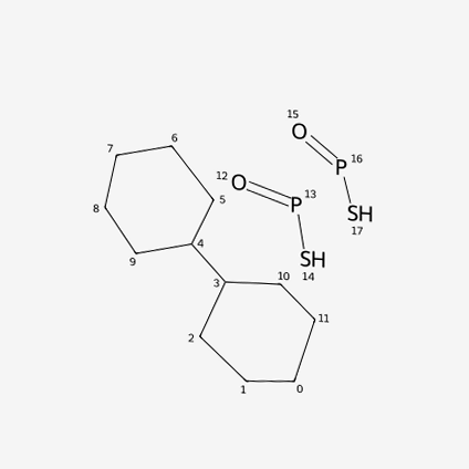 C1CCC(C2CCCCC2)CC1.O=PS.O=PS